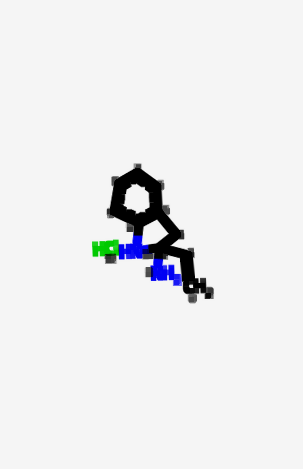 C=CC1(N)Cc2ccccc2N1.Cl